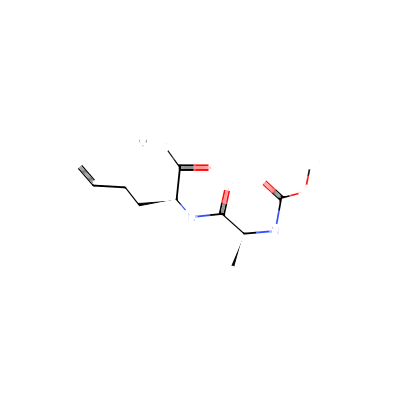 C=CCC[C@H](NC(=O)[C@H](C)NC(=O)OC(C)(C)C)C(=O)OC